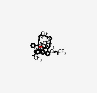 CC(C=COc1ccccc1C1=CC2=CC3=NC(=CC4=NC(=CC5=NC(=C(c6ccccc6OC=CC(C)C(F)(F)F)C1=N2)C(c1ccccc1OC=CC(C)C(F)(F)F)=C5c1ccccc1OC=CC(C)C(F)(F)F)C=C4)C=C3)C(F)(F)F.[Cu]